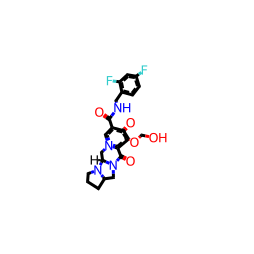 O=C(NCc1ccc(F)cc1F)c1cn2c(c(OCO)c1=O)C(=O)N1CC3CCCN3[C@@H]1C2